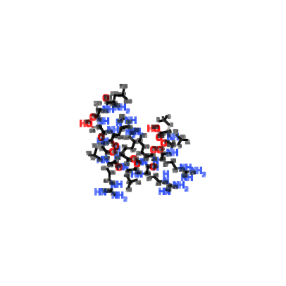 CC(C)C[C@H](NC(=O)[C@H](CC(C)C)NC(=O)[C@H](CCCNC(=N)N)NC(=O)[C@H](CCCCN)NC(=O)[C@H](CCCNC(=N)N)NC(=O)[C@H](CC(C)C)NC(=O)[C@H](CCCCN)NC(=O)[C@H](CCCNC(=N)N)NC(=O)[C@H](CC(C)C)NC(=O)[C@H](Cc1c[nH]cn1)NC(=O)[C@H](CO)NC(=O)[C@H](C)NC(=O)[C@@H](N)CC(C)C)C(=O)O